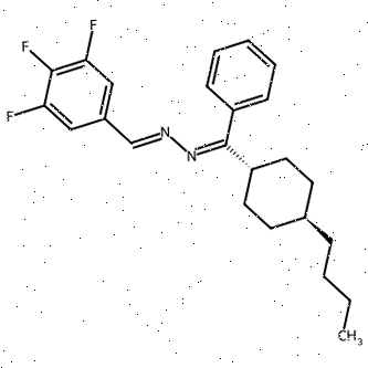 CCCC[C@H]1CC[C@H](C(=NN=Cc2cc(F)c(F)c(F)c2)c2ccccc2)CC1